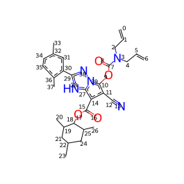 C=CCN(CC=C)C(=O)Oc1c(C#N)c(C(=O)OC2C(C)CC(C)CC2C)c2[nH]c(-c3cc(C)ccc3C)nn12